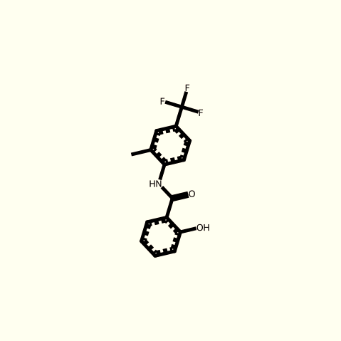 Cc1cc(C(F)(F)F)ccc1NC(=O)c1ccccc1O